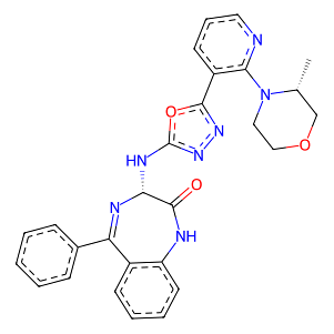 C[C@@H]1COCCN1c1ncccc1-c1nnc(N[C@H]2N=C(c3ccccc3)c3ccccc3NC2=O)o1